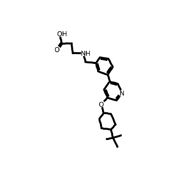 CC(C)(C)C1CCC(Oc2cncc(-c3cccc(CNCCC(=O)O)c3)c2)CC1